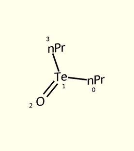 CCC[Te](=O)CCC